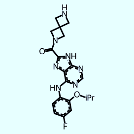 CC(C)Oc1cc(F)ccc1Nc1ncnc2[nH]c(C(=O)N3CC4(CNC4)C3)nc12